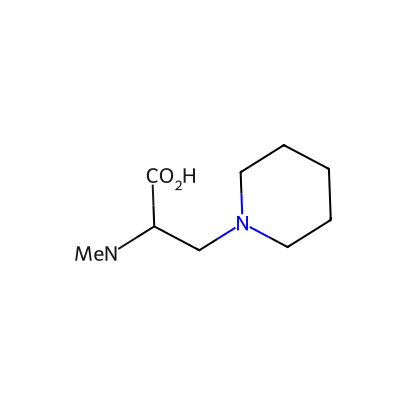 CNC(CN1CCCCC1)C(=O)O